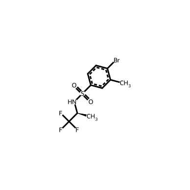 Cc1cc(S(=O)(=O)N[C@@H](C)C(F)(F)F)ccc1Br